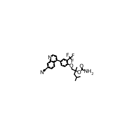 CC(C)CC(C)(COc1ccc(-c2ccnc3cc(C#N)ccc23)cc1C(F)(F)F)OC(N)=O